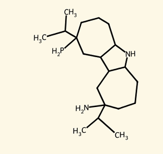 CC(C)C1(N)CCCC2NC3CCCC(P)(C(C)C)CC3C2C1